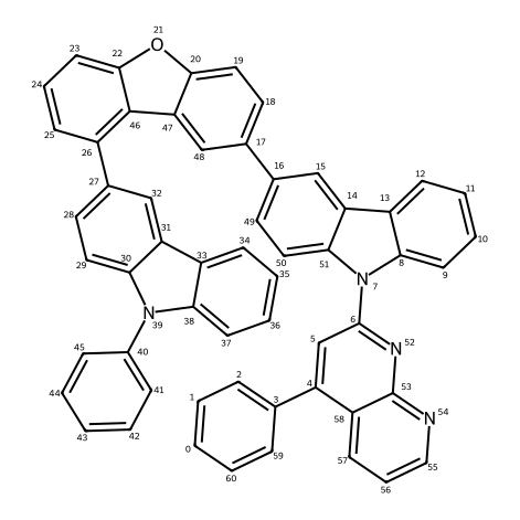 c1ccc(-c2cc(-n3c4ccccc4c4cc(-c5ccc6oc7cccc(-c8ccc9c(c8)c8ccccc8n9-c8ccccc8)c7c6c5)ccc43)nc3ncccc23)cc1